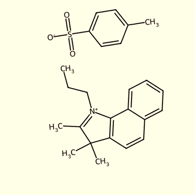 CCC[N+]1=C(C)C(C)(C)c2ccc3ccccc3c21.Cc1ccc(S(=O)(=O)[O-])cc1